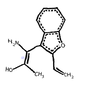 C=Cc1oc2ccccc2c1/C(N)=C(\C)O